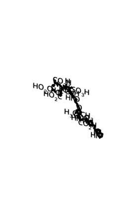 Cc1cc(OCCCC(=O)NCCNC(=O)C(CS(=O)(=O)O)NC(=O)CN2CCN(CC(=O)O)CCN(CC(=O)O)CCN(CC(=O)O)CC2)cc(C)c1S(=O)(=O)N[C@H](CNC(=O)c1ccc(CCc2ccc3c(n2)NCCC3)cc1)C(=O)O